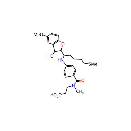 COc1ccc2c(c1)C(C)C(C(CCCCSC)Nc1ccc(C(=O)N(C)CCC(=O)O)cc1)O2